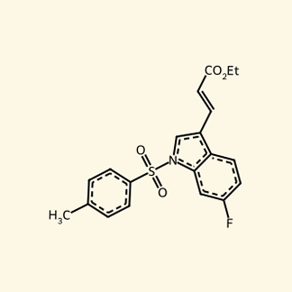 CCOC(=O)/C=C/c1cn(S(=O)(=O)c2ccc(C)cc2)c2cc(F)ccc12